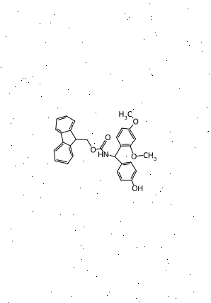 COc1ccc(C(NC(=O)OCC2c3ccccc3-c3ccccc32)c2ccc(O)cc2)c(OC)c1